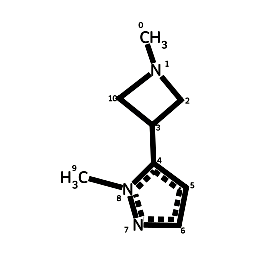 CN1CC(c2ccnn2C)C1